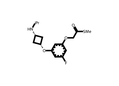 CSC(=O)COc1cc(F)cc(O[C@H]2C[C@@H](NC(C)C)C2)c1